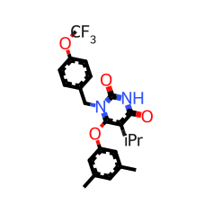 Cc1cc(C)cc(Oc2c(C(C)C)c(=O)[nH]c(=O)n2Cc2ccc(OC(F)(F)F)cc2)c1